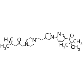 CC(C)CC(=O)CN1CCN(CCC2CCN(c3ccc(C(=O)C(C)(C)C)cn3)C2)CC1